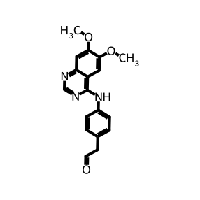 COc1cc2ncnc(Nc3ccc(CC=O)cc3)c2cc1OC